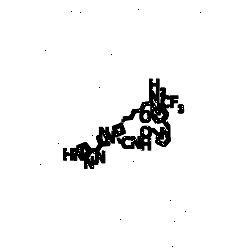 N#CC[C@]1(n2cc(-c3ncnc4[nH]ccc34)cn2)C[C@H](CCCC(CCN)Oc2cc(CN3CCC[C@H]3CO)cc(C(F)(F)F)n2)C1